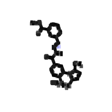 COC(=O)c1cccc(/C=N/NC(=O)c2ccc(C(=O)O)c(-n3c(C)ccc3C)c2)c1